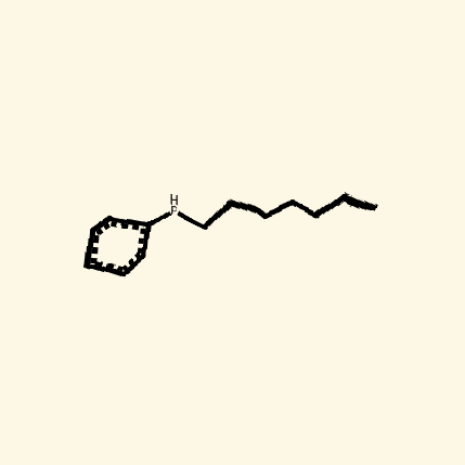 CCCCCCCPc1ccccc1